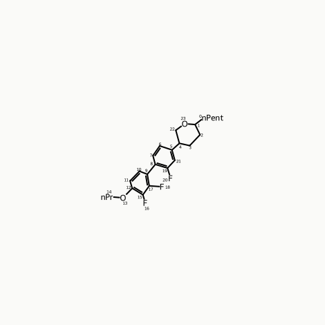 CCCCCC1CCC(c2ccc(-c3ccc(OCCC)c(F)c3F)c(F)c2)CO1